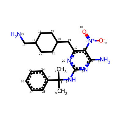 CC(C)(Nc1nc(N)c([N+](=O)[O-])c(CC2CCC(CN)CC2)n1)c1ccccc1